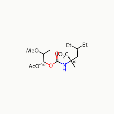 CCC(CC)C[C@](C)(NC(=O)O[C@H](OC(C)=O)C(C)OC)C(=O)O